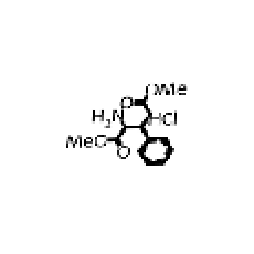 COC(=O)CC(c1ccccc1)[C@H](N)C(=O)OC.Cl